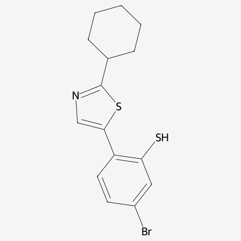 Sc1cc(Br)ccc1-c1cnc(C2CCCCC2)s1